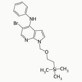 C[Si](C)(C)CCOCn1ccc2c(Nc3ccccc3)c(Br)cnc21